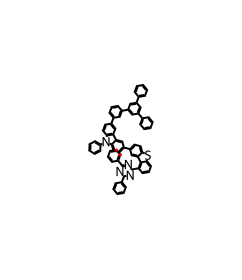 c1ccc(-c2cc(-c3ccccc3)cc(-c3cccc(-c4ccc5c(c4)c4cc(-c6ccc7sc8cccc(-c9nc(-c%10ccccc%10)nc(-c%10ccccc%10)n9)c8c7c6)ccc4n5-c4ccccc4)c3)c2)cc1